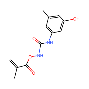 C=C(C)C(=O)ONC(=O)Nc1cc(C)cc(O)c1